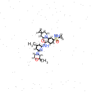 Cc1cc(NC(=O)c2ccc(S(=N)(=O)C3CC3)cc2N2CCC3(CC2)CC3)nc(N2CCO[C@H](C)C2)c1